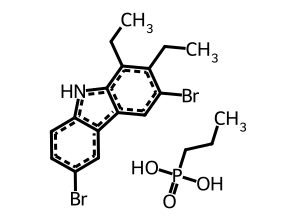 CCCP(=O)(O)O.CCc1c(Br)cc2c([nH]c3ccc(Br)cc32)c1CC